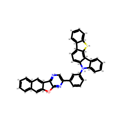 c1cc(-c2cnc3c(n2)oc2cc4ccccc4cc23)cc(-n2c3ccccc3c3c4sc5ccccc5c4ccc32)c1